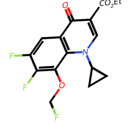 CCOC(=O)c1cn(C2CC2)c2c(OCF)c(F)c(F)cc2c1=O